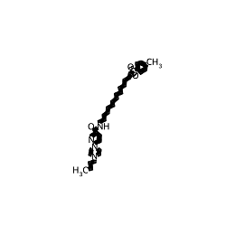 CCCCN1CCN(c2ccc(C(=O)NCCCCCCCCCCCCCCOS(=O)(=O)c3ccc(C)cc3)cn2)CC1